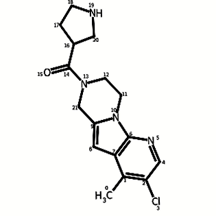 Cc1c(Cl)cnc2c1cc1n2CCN(C(=O)C2CCNC2)C1